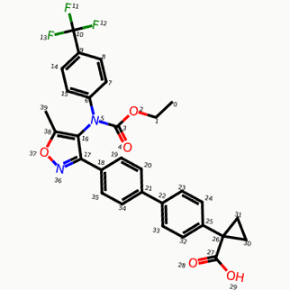 CCOC(=O)N(c1ccc(C(F)(F)F)cc1)c1c(-c2ccc(-c3ccc(C4(C(=O)O)CC4)cc3)cc2)noc1C